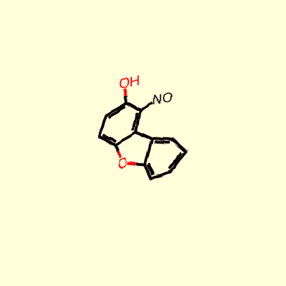 O=Nc1c(O)ccc2oc3ccccc3c12